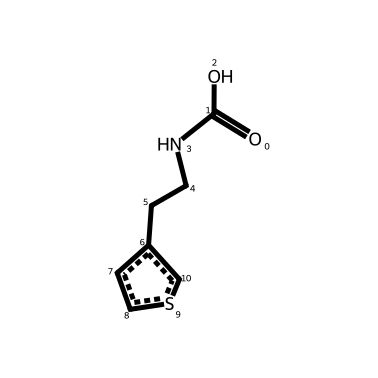 O=C(O)NCCc1ccsc1